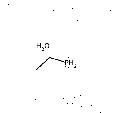 CCP.O